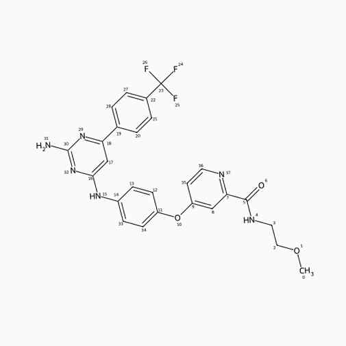 COCCNC(=O)c1cc(Oc2ccc(Nc3cc(-c4ccc(C(F)(F)F)cc4)nc(N)n3)cc2)ccn1